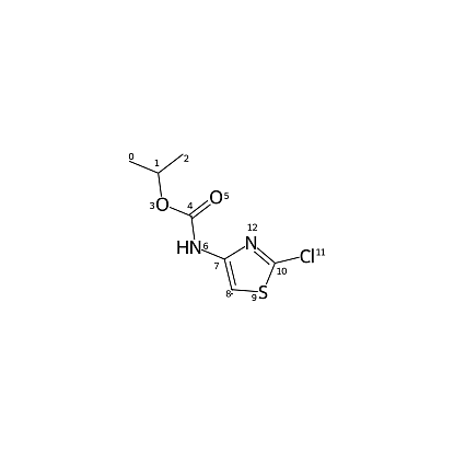 CC(C)OC(=O)Nc1[c]sc(Cl)n1